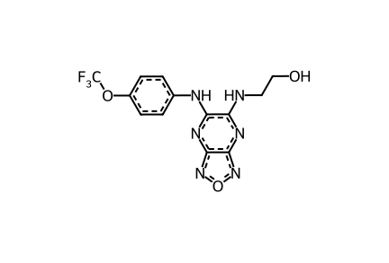 OCCNc1nc2nonc2nc1Nc1ccc(OC(F)(F)F)cc1